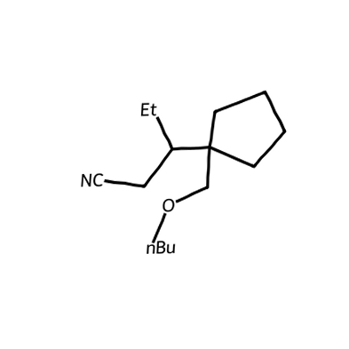 CCCCOCC1(C(CC)CC#N)CCCC1